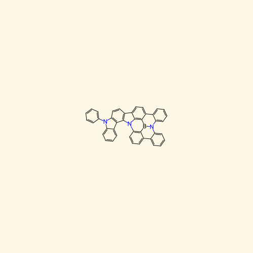 c1ccc(-n2c3ccccc3c3c2ccc2c4ccc5c6c4n(c23)-c2cccc3c2B6N(c2ccccc2-3)c2ccccc2-5)cc1